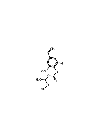 C=Cc1cc(I)c(OC(=O)OC(C)OC(C)(C)C)c(OC)c1